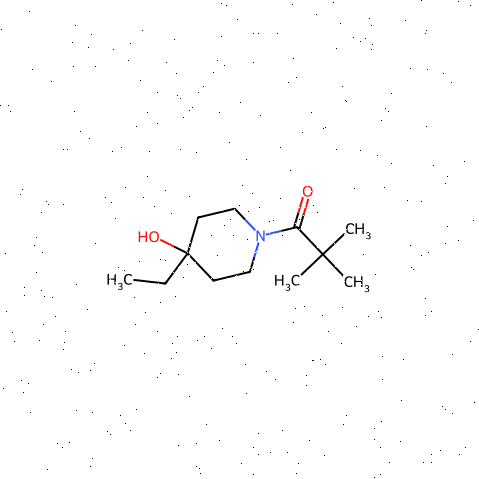 CCC1(O)CCN(C(=O)C(C)(C)C)CC1